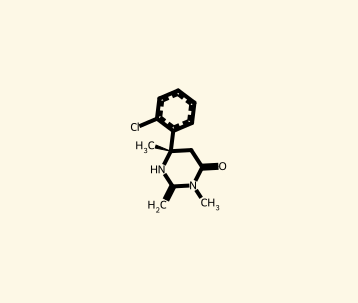 C=C1N[C@](C)(c2ccccc2Cl)CC(=O)N1C